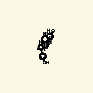 C[C@]12C=CC(=O)N[C@@H]1CC[C@@H]1[C@@H]2CC[C@]2(C)[C@@H](c3ccc(O)cc3)CC[C@@H]12